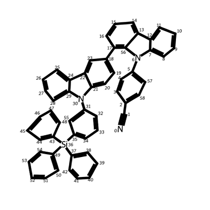 N#Cc1ccc(-n2c3ccccc3c3cccc(-c4ccc5c(c4)c4ccccc4n5-c4cccc([Si](c5ccccc5)(c5ccccc5)c5ccccc5)c4)c32)cc1